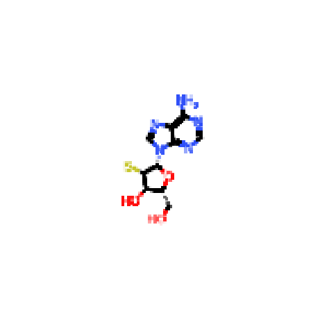 Nc1ncnc2c1ncn2[C@@H]1O[C@H](CO)[C@@H](O)[C@H]1S